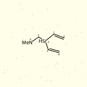 C=C[SiH](C=C)CNC